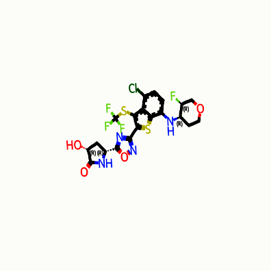 O=C1N[C@@H](c2nc(-c3sc4c(N[C@@H]5CCOC[C@@H]5F)ccc(Cl)c4c3SC(F)(F)F)no2)C[C@H]1O